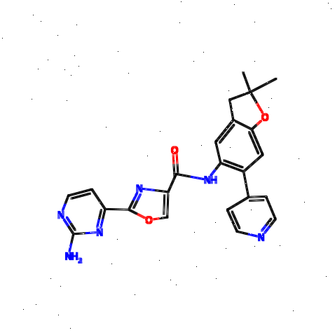 CC1(C)Cc2cc(NC(=O)c3coc(-c4ccnc(N)n4)n3)c(-c3ccncc3)cc2O1